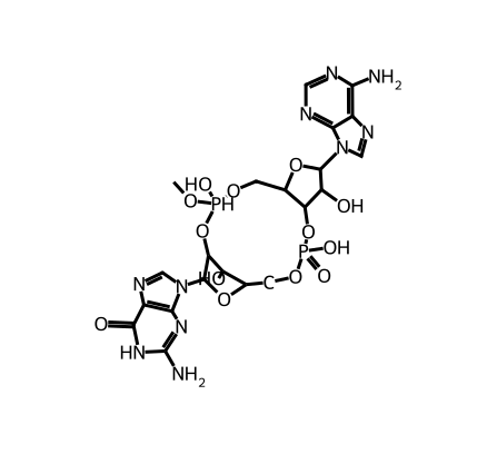 CO[PH]1(O)OCC2OC(n3cnc4c(N)ncnc43)C(O)C2OP(=O)(O)OCC2OC(n3cnc4c(=O)[nH]c(N)nc43)C(O1)C2O